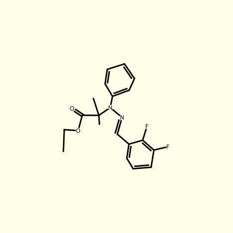 CCOC(=O)C(C)(C)N(/N=C/c1cccc(F)c1F)c1ccccc1